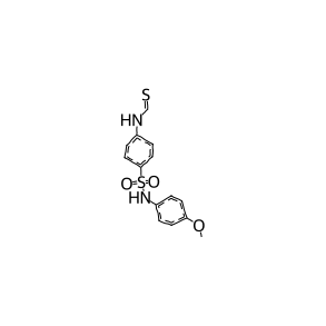 COc1ccc(NS(=O)(=O)c2ccc(NC=S)cc2)cc1